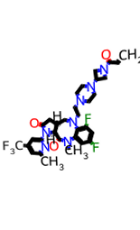 C=CC(=O)N1CC(N2CCN(CCN3C[C@H]4CC(=O)N(c5cc(C(F)(F)F)cc(C)n5)[C@@H]4C(=O)N(C)c4cc(F)cc(F)c43)CC2)C1